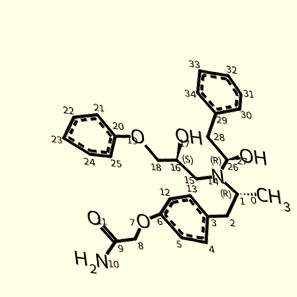 C[C@H](Cc1ccc(OCC(N)=O)cc1)N(C[C@H](O)COc1ccccc1)[C@H](O)Cc1ccccc1